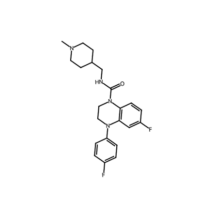 CN1CCC(CNC(=O)N2CCN(c3ccc(F)cc3)c3cc(F)ccc32)CC1